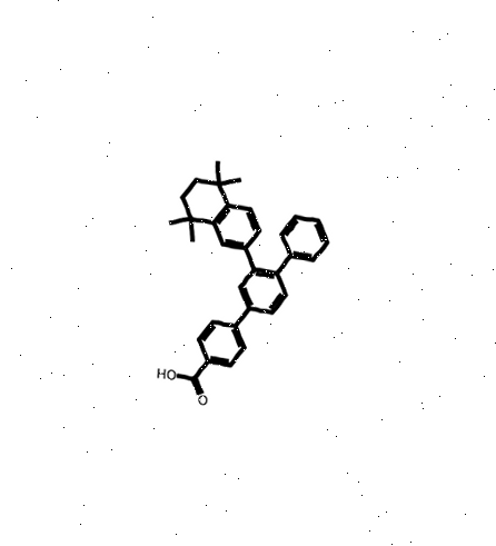 CC1(C)CCC(C)(C)c2cc(-c3cc(-c4ccc(C(=O)O)cc4)ccc3-c3ccccc3)ccc21